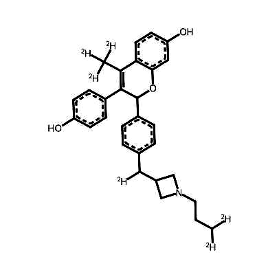 [2H]C([2H])CCN1CC(C([2H])c2ccc(C3Oc4cc(O)ccc4C(C([2H])([2H])[2H])=C3c3ccc(O)cc3)cc2)C1